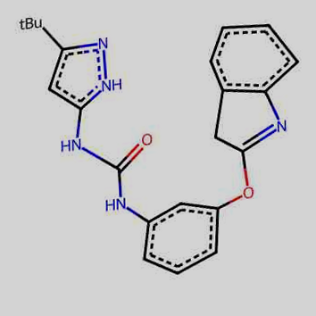 CC(C)(C)c1cc(NC(=O)Nc2cccc(OC3=Nc4ccccc4C3)c2)[nH]n1